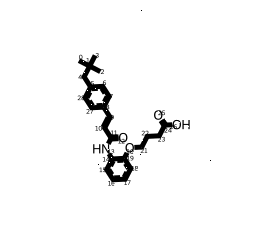 CC(C)(C)Cc1ccc(C=CC(=O)Nc2ccccc2OCCCC(=O)O)cc1